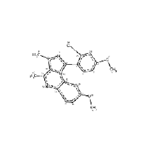 COc1ccc(-c2nc(C)c3c(C)nc4ccc(OC)nc4n23)c(Cl)c1